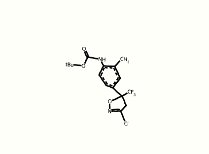 Cc1cc(C2(C(F)(F)F)CC(Cl)=NO2)ccc1NC(=O)OC(C)(C)C